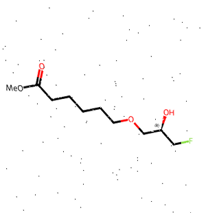 COC(=O)CCCCCOC[C@@H](O)CF